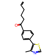 C=CCCCC(=O)c1ccc(-c2scnc2C)cc1